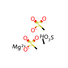 CS(=O)(=O)O.CS(=O)(=O)[O-].CS(=O)(=O)[O-].[Mg+2]